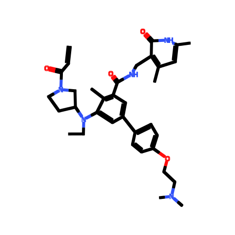 C=CC(=O)N1CCC(N(CC)c2cc(-c3ccc(OCCN(C)C)cc3)cc(C(=O)NCc3c(C)cc(C)[nH]c3=O)c2C)C1